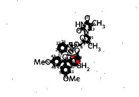 B[C@H]1C[C@@H](OP(=O)(OC[C@H]2O[C@@H](n3cc(C)c(=O)[nH]c3=O)C[C@H]2C)Sc2ccccc2)[C@@H](COC(c2ccccc2)(c2ccc(OC)cc2)c2ccc(OC)cc2)O1